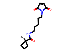 CC(=O)C1(C(=O)NCCCCCN2C(=O)C=CC2=O)CCC1